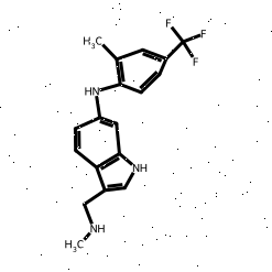 CNCc1c[nH]c2cc(Nc3ccc(C(F)(F)F)cc3C)ccc12